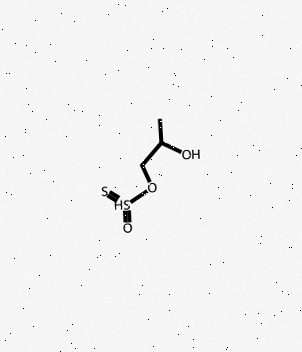 CC(O)CO[SH](=O)=S